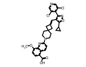 COc1ccc(C(=O)O)c2ccc(N3CCC4(CC3)CC(=Cc3c(-c5c(Cl)cncc5Cl)noc3C3CC3)C4)nc12